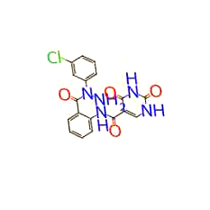 NN(C(=O)c1ccccc1NC(=O)c1c[nH]c(=O)[nH]c1=O)c1cccc(Cl)c1